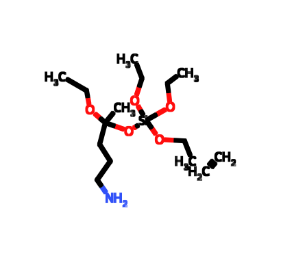 C=C.CCOC(C)(CCCN)O[Si](OCC)(OCC)OCC